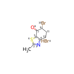 Br.Cc1nc2c(s1)C(=O)C(Br)CC2